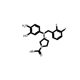 CCCCC(=O)N1CC[C@H](N(Cc2cccc(F)c2F)c2ccc(N)c(O)c2)C1